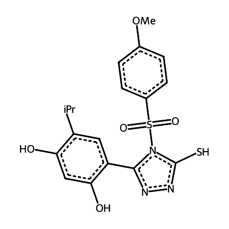 COc1ccc(S(=O)(=O)n2c(S)nnc2-c2cc(C(C)C)c(O)cc2O)cc1